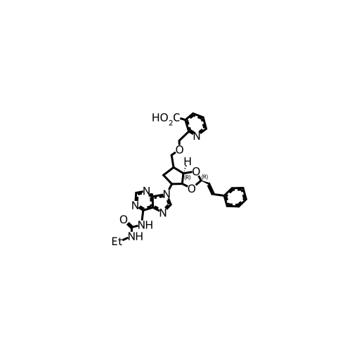 CCNC(=O)Nc1ncnc2c1ncn2C1CC(COCc2ncccc2C(=O)O)[C@H]2O[C@@H](C=Cc3ccccc3)OC12